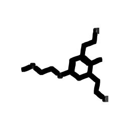 COCCOC1=[C]C(CCCl)=C(C)C(CCCl)[CH]1